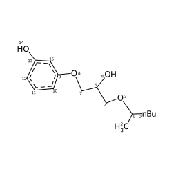 CCCCC(C)OCC(O)COc1cccc(O)c1